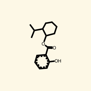 CC(C)C1CCCCC1OC(=O)c1ccccc1O